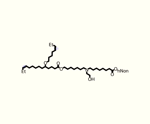 CC/C=C\CCCCCC(CCCC(=O)OCCCCCCCN(CCO)CCCCCCCC(=O)OCCCCCCCCC)OCCCC/C=C\CC